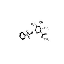 COC(=O)C1O[C@H](/C=C/S(=O)(=O)c2ccccc2)[C@H](C)[C@H](O)[C@@H]1C